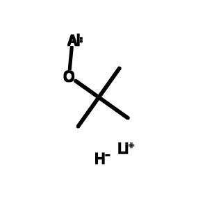 CC(C)(C)[O][Al].[H-].[Li+]